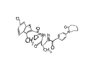 Cc1c(S(=O)(=O)NC(=O)C(C)NC(=O)c2ccc(N3CCCCC3=O)cc2)sc2cc(Cl)ccc12